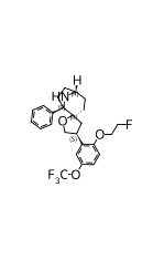 FCCOc1ccc(OC(F)(F)F)cc1[C@H]1CO[C@]2(CC[C@H]3CC[C@]2(c2ccccc2)N3)C1